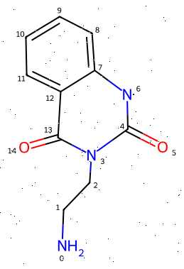 NCCN1C(=O)[N]c2ccccc2C1=O